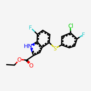 CCOC(=O)c1cc2c(Sc3ccc(F)c(Cl)c3)ccc(F)c2[nH]1